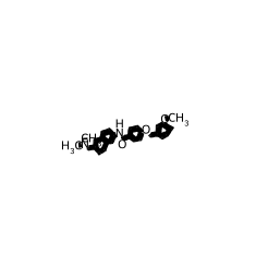 COc1cccc(COc2ccc(C(=O)Nc3ccc4c(c3)CCC(CN(C)C)C4)cc2)c1